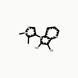 Cc1c(-n2c(O)c(C#N)c3ncccc32)cnn1C